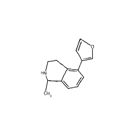 CC1NCCc2c(-c3ccoc3)cccc21